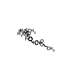 CCCCOC(=O)N1CCN(Cc2ccc(B3OC(C)(C)C(C)(C)O3)c(F)c2)CC1